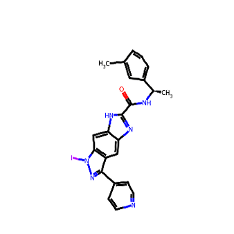 Cc1cccc([C@@H](C)NC(=O)c2nc3cc4c(-c5ccncc5)nn(I)c4cc3[nH]2)c1